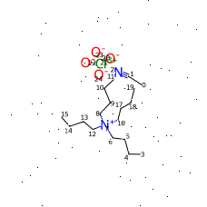 CC#N.CCCC[N+](CCCC)(CCCC)CCCC.[O-][Cl+3]([O-])([O-])[O-]